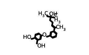 CCC(O)(CC)CCC=C(C)c1cccc(COc2ccc(CO)c(CO)c2)c1